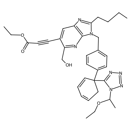 CCCCc1nc2cc(C#CC(=O)OCC)c(CO)nc2n1Cc1ccc(C2(c3nnnn3C(C)OCC)C=CC=CC2)cc1